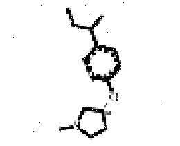 CCC(C)c1ccc(O[C@@H]2CCN(C)C2)nc1